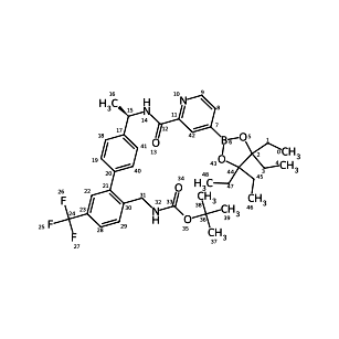 CCC1(CC)OB(c2ccnc(C(=O)N[C@H](C)c3ccc(-c4cc(C(F)(F)F)ccc4CNC(=O)OC(C)(C)C)cc3)c2)OC1(CC)CC